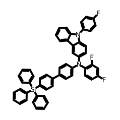 Fc1ccc(-n2c3ccccc3c3cc(N(c4ccc(-c5ccc([Si](c6ccccc6)(c6ccccc6)c6ccccc6)cc5)cc4)c4ccc(F)cc4F)ccc32)cc1